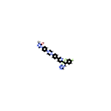 CCn1ncn(-c2ccc(N3CCN(c4ccc(-c5ccc(C(F)(F)[C@H](Cn6cnnn6)c6ccc(F)cc6F)nc5)cc4)CC3)cc2)c1=O